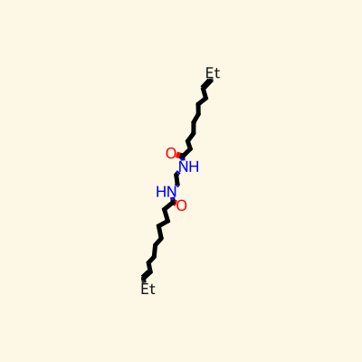 CCC=CCCCCCCCC(=O)NCCNC(=O)CCCCCCCC=CCC